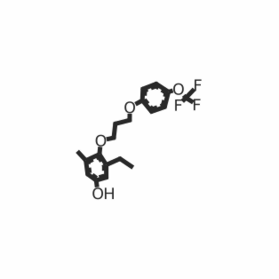 CCc1cc(O)cc(C)c1OCCCOc1ccc(OC(F)(F)F)cc1